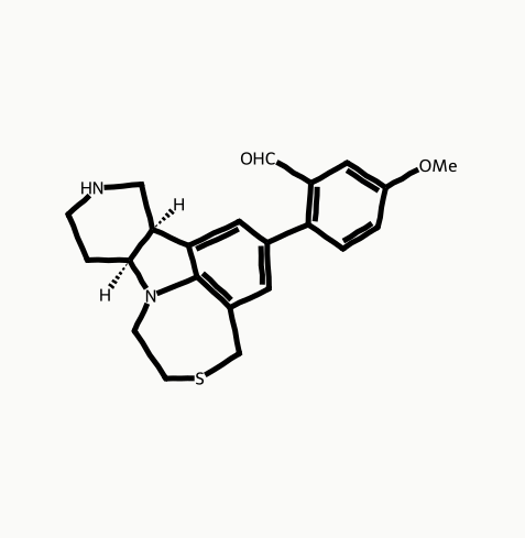 COc1ccc(-c2cc3c4c(c2)[C@@H]2CNCC[C@@H]2N4CCSC3)c(C=O)c1